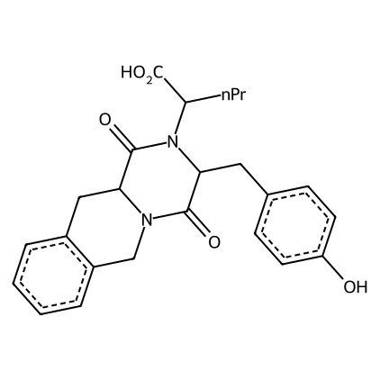 CCCC(C(=O)O)N1C(=O)C2Cc3ccccc3CN2C(=O)C1Cc1ccc(O)cc1